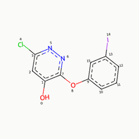 Oc1cc(Cl)nnc1Oc1cccc(I)c1